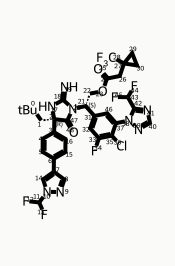 CC(C)(C)C[C@]1(c2ccc(-c3cnn(C(F)F)c3)cc2)NC(=N)N([C@H](COC(=O)CC2(C(F)(F)F)CC2)c2cc(F)c(Cl)c(-n3ncnc3C(F)F)c2)C1=O